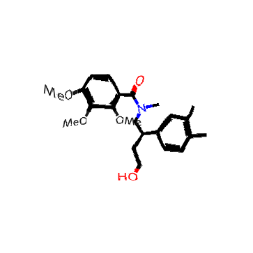 COc1ccc(C(=O)N(C)CC(CCO)c2ccc(C)c(C)c2)c(OC)c1OC